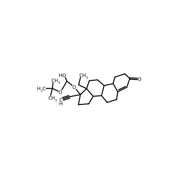 C#CC1(OC(O)OC(C)(C)C)CCC2C3CCC4=CC(=O)CCC4C3CCC21CC